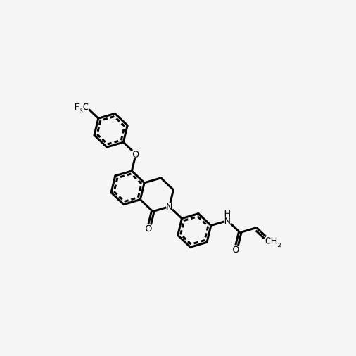 C=CC(=O)Nc1cccc(N2CCc3c(Oc4ccc(C(F)(F)F)cc4)cccc3C2=O)c1